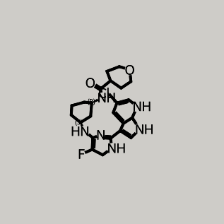 O=C(N[C@@H]1CCC[C@H](NC2=C(F)CNC(C3=CNC4NC=C(Cl)C=C34)=N2)C1)C1CCOCC1